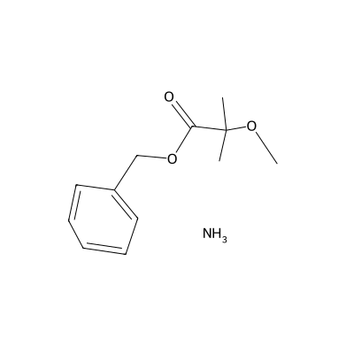 COC(C)(C)C(=O)OCc1ccccc1.N